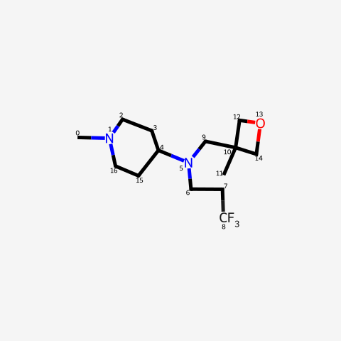 CN1CCC(N(CCC(F)(F)F)CC2(C)COC2)CC1